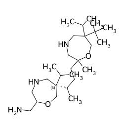 CC(C)C1(C(C)(C)C)CNCC(C)(CCC(C)[C@@]2(C(C)C)CNCC(CN)OC2)OC1